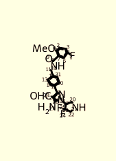 COc1ccc(F)cc1C(=O)NCc1ccc(-c2nn(C3CNCC3(F)F)c(N)c2C=O)cc1